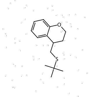 CC(C)(C)SCC1CCOc2ccccc21